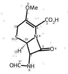 COC1=C(C(=O)O)N2C(=O)C(NC=O)[C@H]2SC1